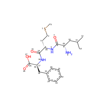 CSCC[C@H](NC(=O)[C@@H](N)CC(C)C)C(=O)N[C@@H](Cc1ccccc1)C(=O)O